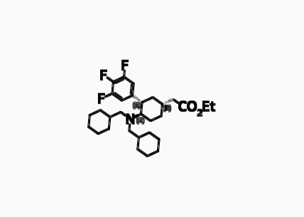 CCOC(=O)C[C@@H]1CC[C@@H](N(CC2CCCCC2)CC2CCCCC2)[C@H](c2cc(F)c(F)c(F)c2)C1